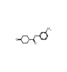 O=C1CCN(C(=O)Oc2cccc(C(F)(F)F)c2)CC1